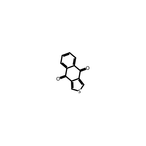 O=C1c2ccccc2C(=O)c2cscc21